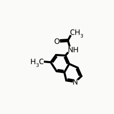 CC(=O)Nc1cc(C)cc2cnccc12